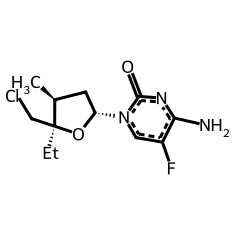 CC[C@@]1(CCl)O[C@@H](n2cc(F)c(N)nc2=O)C[C@@H]1C